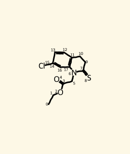 CCOC(=O)CN1C(=S)CCc2ccc(Cl)cc21